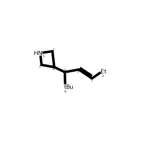 CC/C=C/C(C1CNC1)C(C)(C)C